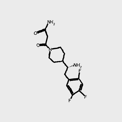 NC(=O)CC(=O)N1CCC([C@H](N)Cc2cc(F)c(F)cc2F)CC1